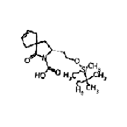 CC(C)(C)[Si](C)(C)OCC[C@H]1CC2(CC=CC2)C(=O)N1C(=O)O